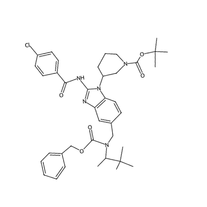 CC(N(Cc1ccc2c(c1)nc(NC(=O)c1ccc(Cl)cc1)n2C1CCCN(C(=O)OC(C)(C)C)C1)C(=O)OCc1ccccc1)C(C)(C)C